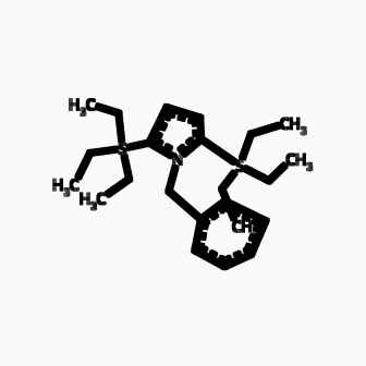 CCS(CC)(CC)c1ccc(S(CC)(CC)CC)n1Cc1ccccc1